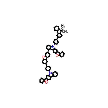 CC1(C)c2ccccc2-c2cc(-c3ccc(-n4c5cc6c(cc5c5c(-c7ccc8c(c7)oc7ccc(-c9ccc(-n%10c%11ccccc%11c%11cc%12oc%13ccccc%13c%12cc%11%10)cc9)cc78)cccc54)oc4ccccc46)cc3)ccc21